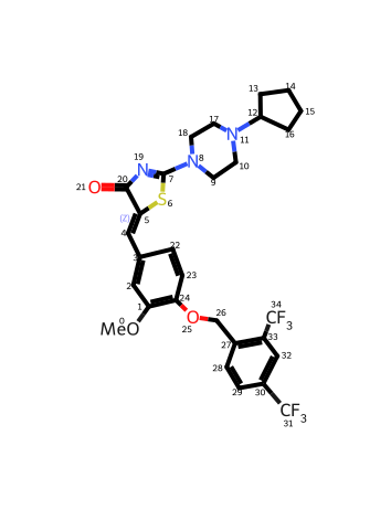 COc1cc(/C=C2\SC(N3CCN(C4CCCC4)CC3)=NC2=O)ccc1OCc1ccc(C(F)(F)F)cc1C(F)(F)F